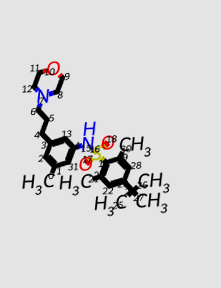 Cc1cc(CCCN2CCOCC2)cc(NS(=O)(=O)c2c(C)cc(C(C)(C)C)cc2C)c1